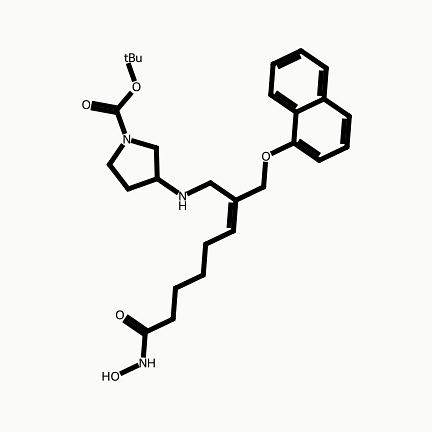 CC(C)(C)OC(=O)N1CCC(NC/C(=C\CCCCC(=O)NO)COc2cccc3ccccc23)C1